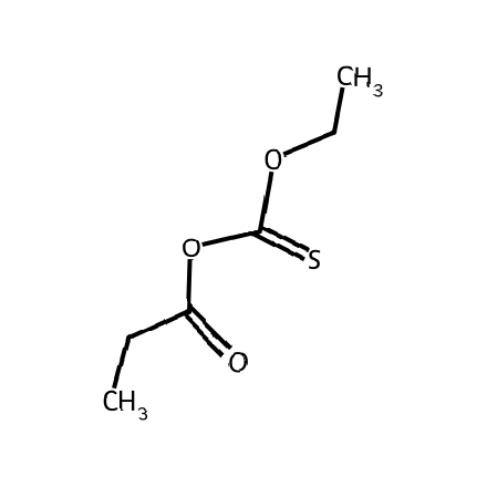 CCOC(=S)OC(=O)CC